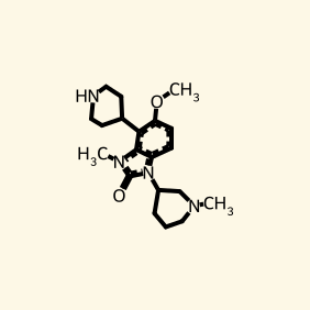 COc1ccc2c(c1C1CCNCC1)n(C)c(=O)n2C1CCCN(C)C1